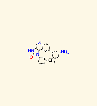 Nc1cccc(-c2ccc3ncc4[nH]c(=O)n(-c5cccc(C(F)(F)F)c5)c4c3c2)c1